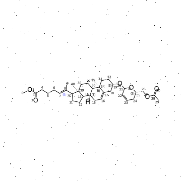 COC(=O)CCC/C=C(\C)C1CCC2[C@@H]3CC=C4C[C@@H](OC5C=CC[C@@H](COC(C)=O)O5)CC[C@]4(C)C3CC[C@]12C